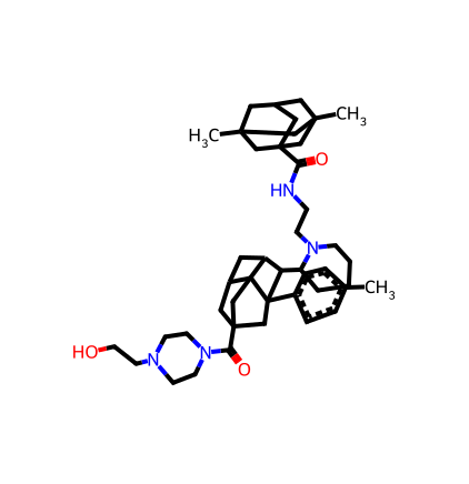 Cc1ccc(C23CC4CC(CC(C(=O)N5CCN(CCO)CC5)(C4)C2)C3C2CCCCN2CCNC(=O)C23CC4CC(C)(CC(C)(C4)C2)C3)cc1